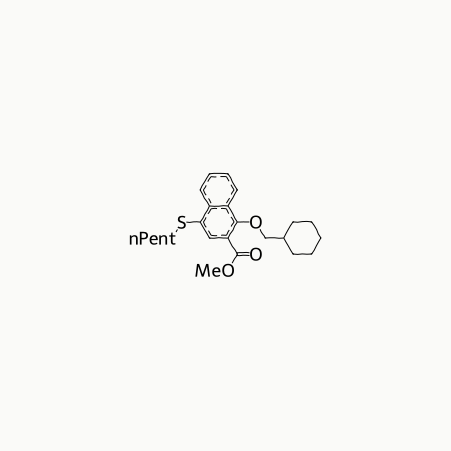 CCCCCSc1cc(C(=O)OC)c(OCC2CCCCC2)c2ccccc12